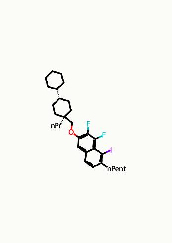 CCCCCc1ccc2cc(OC[C@]3(CCC)CC[C@@H](C4CCCCC4)CC3)c(F)c(F)c2c1I